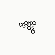 c1ccc2c(c1)cn1c3ccc4c5ccccc5oc4c3c3ccc4c5ccccc5sc4c3c21